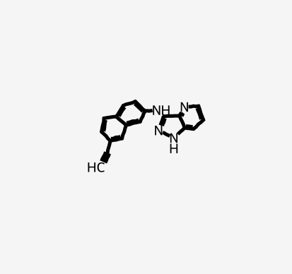 C#Cc1ccc2ccc(Nc3n[nH]c4cccnc34)cc2c1